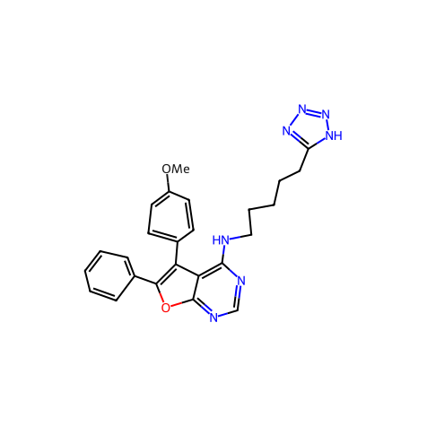 COc1ccc(-c2c(-c3ccccc3)oc3ncnc(NCCCCCc4nnn[nH]4)c23)cc1